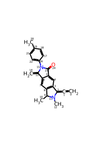 C=C=C1c2cc3c(cc2C(C)N1C)C(=C)N(c1ccc(C)cc1)C3=O